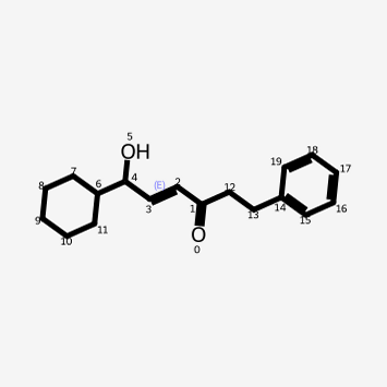 O=C(/C=C/C(O)C1CCCCC1)CCc1ccccc1